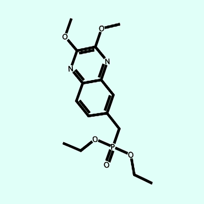 CCOP(=O)(Cc1ccc2nc(OC)c(OC)nc2c1)OCC